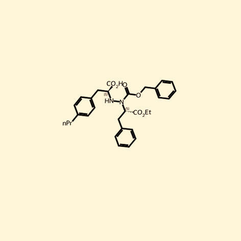 CCCc1ccc(C[C@H](NN(C(=O)OCc2ccccc2)[C@@H](Cc2ccccc2)C(=O)OCC)C(=O)O)cc1